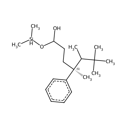 CC(C(C)(C)C)[C@](C)(CCC(O)O[SiH](C)C)c1ccccc1